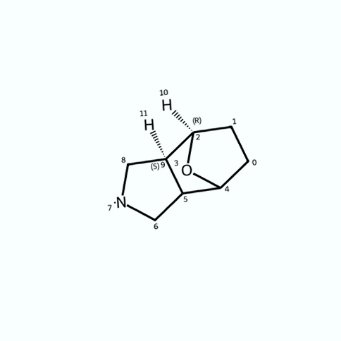 C1C[C@H]2OC1C1C[N]C[C@H]12